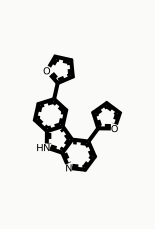 c1coc(-c2ccc3[nH]c4nccc(-c5ccco5)c4c3c2)c1